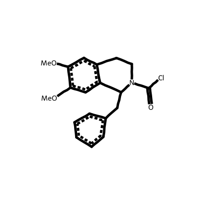 COc1cc2c(cc1OC)C(Cc1ccccc1)N(C(=O)Cl)CC2